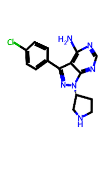 Nc1ncnc2c1c(-c1ccc(Cl)cc1)nn2[C@@H]1CCNC1